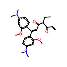 C=CC(=O)C(CC)C(=O)C=C(c1ccc(N(C)C)cc1OC)c1ccc(N(C)C)cc1OC